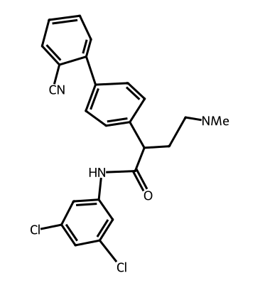 CNCCC(C(=O)Nc1cc(Cl)cc(Cl)c1)c1ccc(-c2ccccc2C#N)cc1